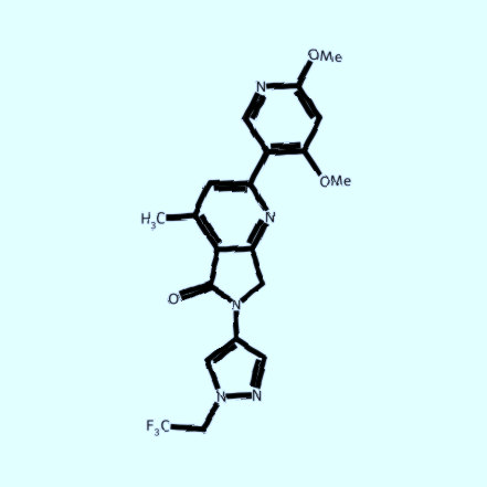 COc1cc(OC)c(-c2cc(C)c3c(n2)CN(c2cnn(CC(F)(F)F)c2)C3=O)cn1